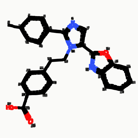 Cc1ccc(-c2ncc(-c3nc4ccccc4o3)n2CCc2ccc(C(=O)O)cc2)cc1